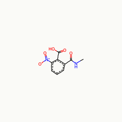 CNC(=O)c1cccc([N+](=O)[O-])c1C(=O)O